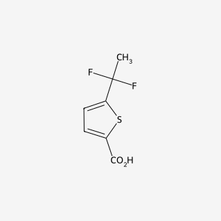 CC(F)(F)c1ccc(C(=O)O)s1